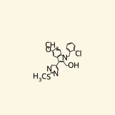 COc1ccc2c(c1)c(-c1cnc(SC)nc1)c(CO)n2Cc1ccccc1Cl